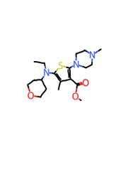 CCN(c1sc(N2CCN(C)CC2)c(C(=O)OC)c1C)C1CCOCC1